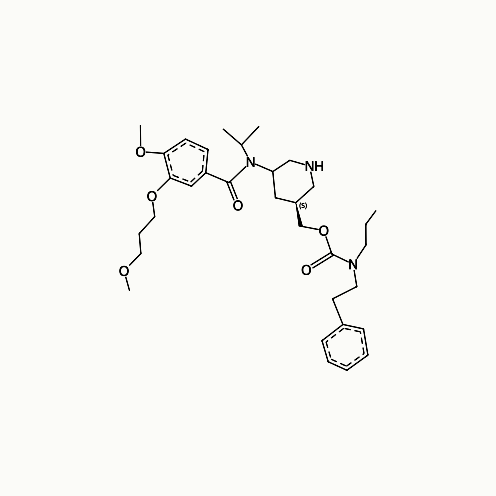 CCCN(CCc1ccccc1)C(=O)OC[C@@H]1CNCC(N(C(=O)c2ccc(OC)c(OCCCOC)c2)C(C)C)C1